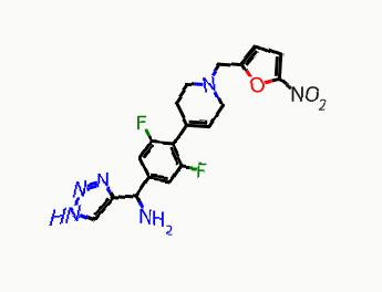 NC(c1cc(F)c(C2=CCN(Cc3ccc([N+](=O)[O-])o3)CC2)c(F)c1)c1c[nH]nn1